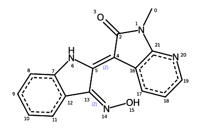 CN1C(=O)/C(=C2\Nc3ccccc3\C2=N\O)c2cccnc21